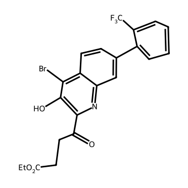 CCOC(=O)CCC(=O)c1nc2cc(-c3ccccc3C(F)(F)F)ccc2c(Br)c1O